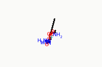 CCCCCCCCCCCCCCC(OC(=O)[C@@H](N)[C@@H](C)CC)C(=O)OC[C@H]1O[C@@H](n2cnc3c(=O)[nH]c(N)nc32)C[C@@H]1F